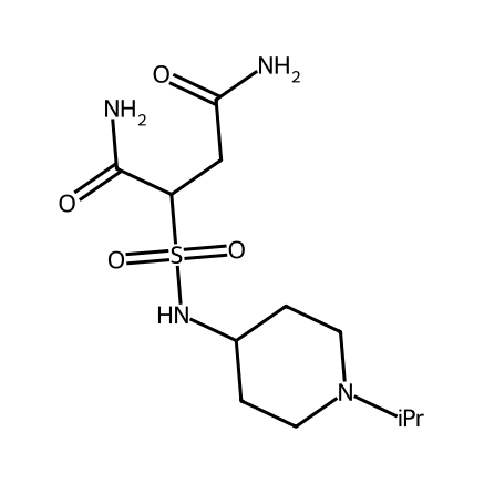 CC(C)N1CCC(NS(=O)(=O)C(CC(N)=O)C(N)=O)CC1